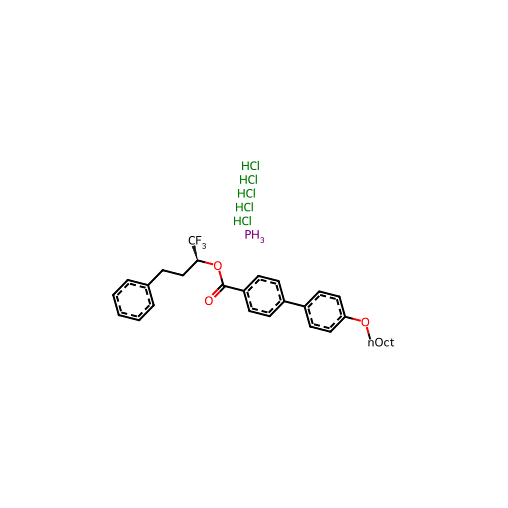 CCCCCCCCOc1ccc(-c2ccc(C(=O)O[C@@H](CCc3ccccc3)C(F)(F)F)cc2)cc1.Cl.Cl.Cl.Cl.Cl.P